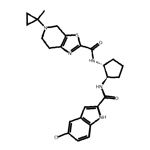 CC1(N2CCc3nc(C(=O)N[C@@H]4CCC[C@H]4NC(=O)c4cc5cc(Cl)ccc5[nH]4)sc3C2)CC1